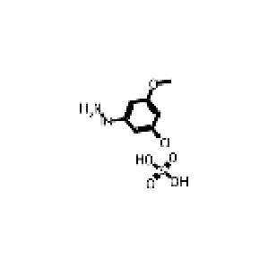 COc1cc(Cl)cc(NN)c1.O=S(=O)(O)O